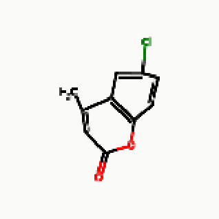 Cc1cc(=O)oc2ccc(Cl)cc12